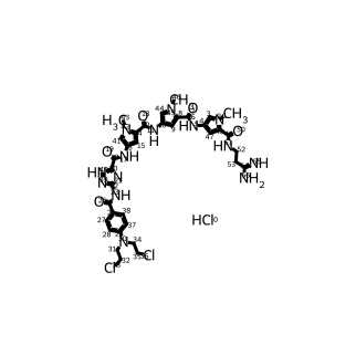 Cl.Cn1cc(NC(=O)c2cc(NC(=O)c3cc(NC(=O)c4nc(NC(=O)c5ccc(N(CCCl)CCCl)cc5)n[nH]4)cn3C)cn2C)cc1C(=O)NCCC(=N)N